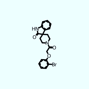 O=C(COc1ccccc1Br)N1CCC2(CC1)C(=O)Nc1ccccc12